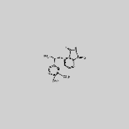 O=C(O)c1ccc(C(Oc2cccc3c2C(=O)NC3=O)C(=O)O)cc1C(=O)O